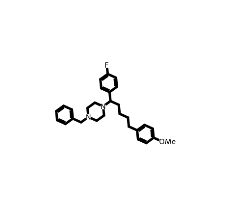 COc1ccc(CCCCC(c2ccc(F)cc2)N2CCN(Cc3ccccc3)CC2)cc1